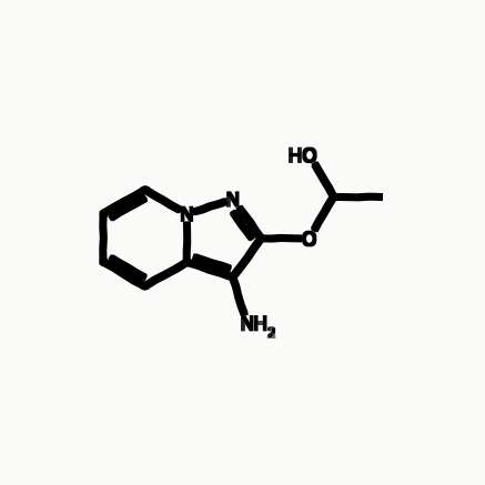 CC(O)Oc1nn2ccccc2c1N